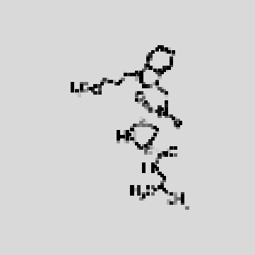 COCCCN1CC(CN(C(=O)[C@H]2CNC[C@@H](C(=O)NCC(C)C)C2)C2CC2)c2ccccc21